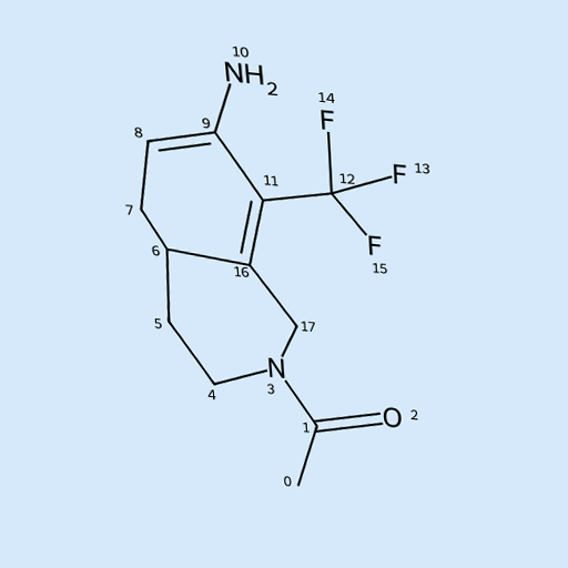 CC(=O)N1CCC2CC=C(N)C(C(F)(F)F)=C2C1